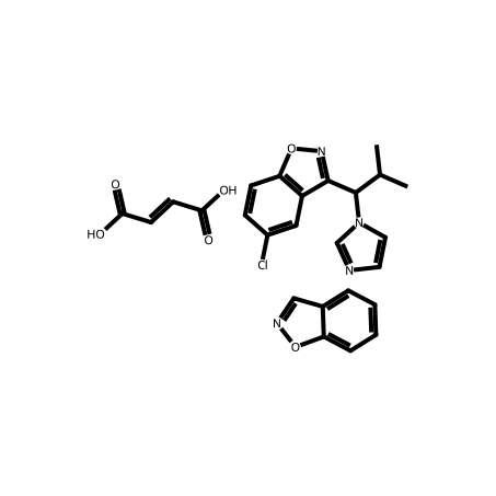 CC(C)C(c1noc2ccc(Cl)cc12)n1ccnc1.O=C(O)C=CC(=O)O.c1ccc2oncc2c1